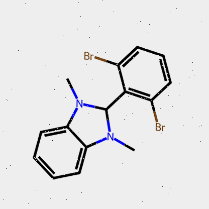 CN1c2ccccc2N(C)C1c1c(Br)cccc1Br